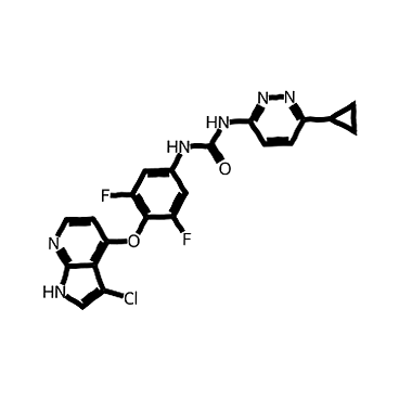 O=C(Nc1cc(F)c(Oc2ccnc3[nH]cc(Cl)c23)c(F)c1)Nc1ccc(C2CC2)nn1